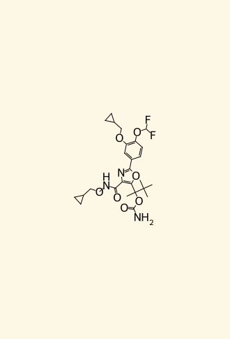 CC(C)(C)C(C)(OC(N)=O)c1oc(-c2ccc(OC(F)F)c(OCC3CC3)c2)nc1C(=O)NOCC1CC1